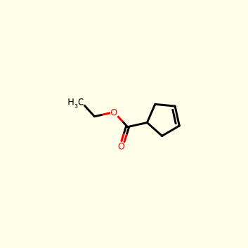 CCOC(=O)C1CC=CC1